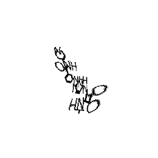 CN1CCC(NC(=O)c2cccc(Nc3nccc(Nc4c(NC(C)(C)C)c(=O)c4=O)n3)c2)CC1